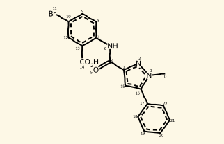 Cn1nc(C(=O)Nc2ccc(Br)cc2C(=O)O)cc1-c1ccccc1